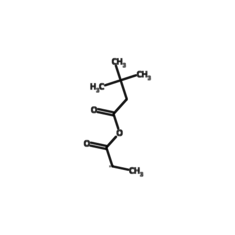 C[CH]C(=O)OC(=O)CC(C)(C)C